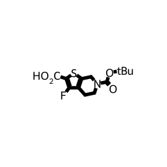 CC(C)(C)OC(=O)N1CCc2c(sc(C(=O)O)c2F)C1